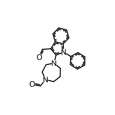 O=Cc1c(N2CCCN(C=O)CC2)n(-c2ccccc2)c2ccccc12